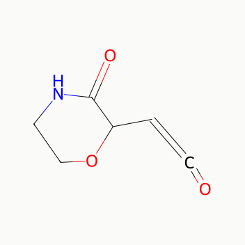 O=C=CC1OCCNC1=O